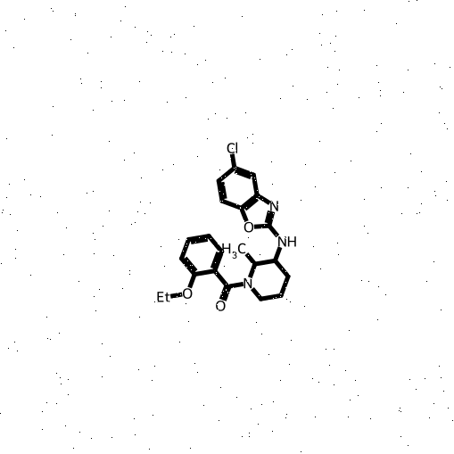 CCOc1ccccc1C(=O)N1CCCC(Nc2nc3cc(Cl)ccc3o2)C1C